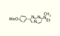 CCN(C)c1ccn2cc(-c3ccc(OC)cc3)nc2n1